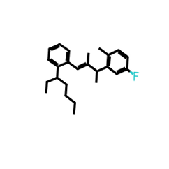 CCCCC(CC)c1ccccc1/C=C(\C)C(C)c1cc(F)ccc1C